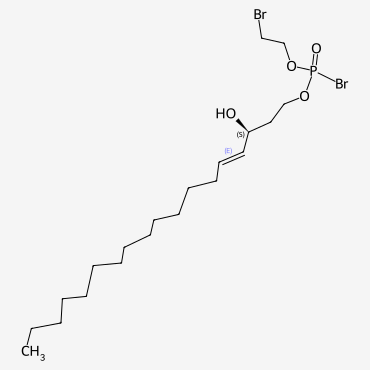 CCCCCCCCCCCCC/C=C/[C@@H](O)CCOP(=O)(Br)OCCBr